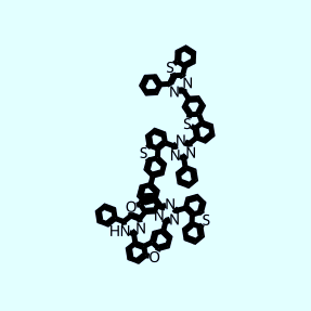 c1ccc(-c2nc(-c3cccc4c3sc3cc(-c5nc(-c6ccccc6)c6sc7ccccc7c6n5)ccc34)nc(-c3cccc4sc5cc(-c6cccc(-c7nc(-c8ccc9oc%10cccc(C%11=Nc%12c(oc%13ccccc%12%13)C(c%12ccccc%12)N%11)c%10c9c8)nc(-c8cccc9sc%10ccccc%10c89)n7)c6)ccc5c34)n2)cc1